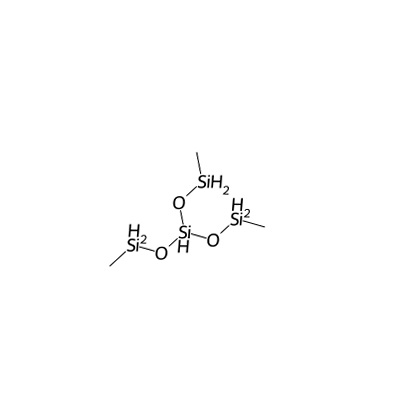 C[SiH2]O[SiH](O[SiH2]C)O[SiH2]C